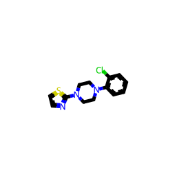 Clc1ccccc1N1CCN(c2nccs2)CC1